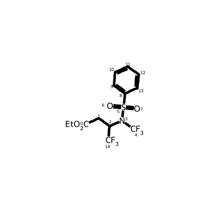 CCOC(=O)CC(N(C(F)(F)F)S(=O)(=O)c1ccccc1)C(F)(F)F